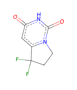 O=c1cc2n(c(=O)[nH]1)CCC2(F)F